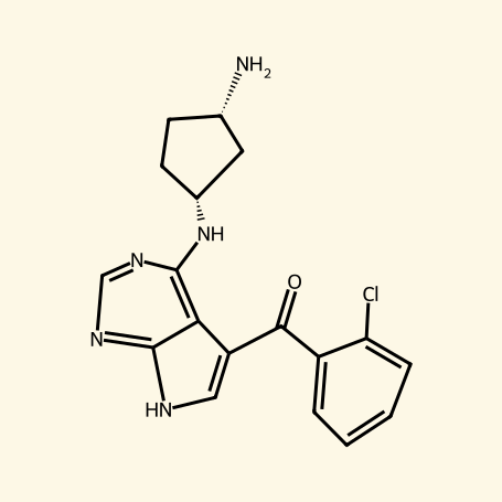 N[C@H]1CC[C@@H](Nc2ncnc3[nH]cc(C(=O)c4ccccc4Cl)c23)C1